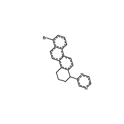 Brc1cccc2c1ccc1c3c(ccc12)C(c1cnccn1)CCC3